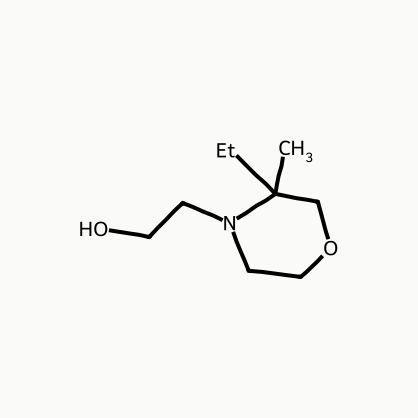 CCC1(C)COCCN1CCO